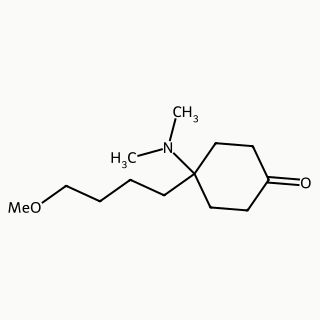 COCCCCC1(N(C)C)CCC(=O)CC1